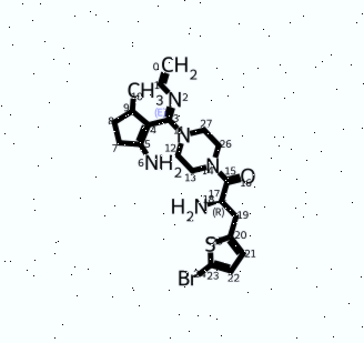 C=C/N=C(\C1=C(N)CCC1C)N1CCN(C(=O)[C@H](N)Cc2ccc(Br)s2)CC1